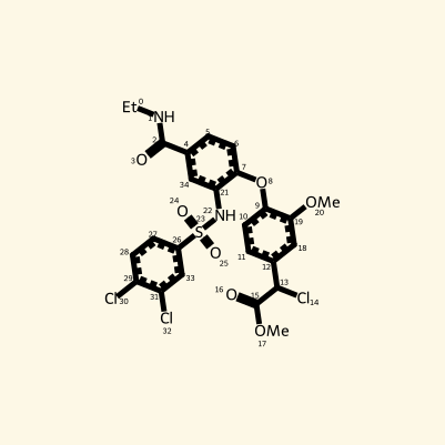 CCNC(=O)c1ccc(Oc2ccc(C(Cl)C(=O)OC)cc2OC)c(NS(=O)(=O)c2ccc(Cl)c(Cl)c2)c1